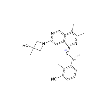 Cc1c(C#N)cccc1[C@@H](C)/N=c1\nc(C)n(C)c2cnc(N3CC(C)(O)C3)cc12